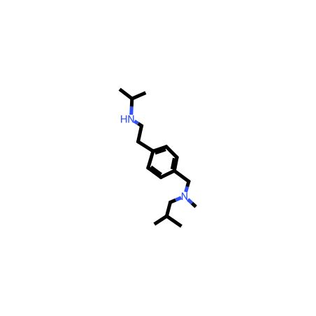 CC(C)CN(C)Cc1ccc(CCNC(C)C)cc1